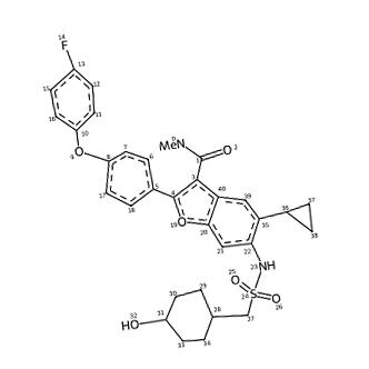 CNC(=O)c1c(-c2ccc(Oc3ccc(F)cc3)cc2)oc2cc(NS(=O)(=O)CC3CCC(O)CC3)c(C3CC3)cc12